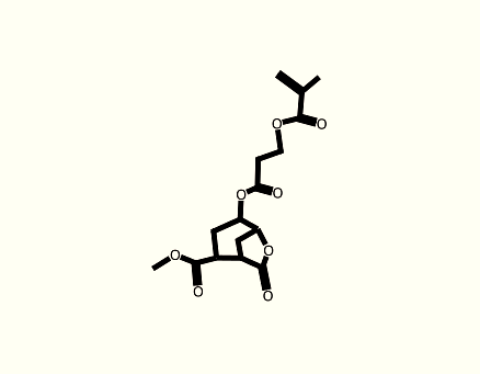 C=C(C)C(=O)OCCC(=O)OC1CC(C(=O)OC)C2CC1OC2=O